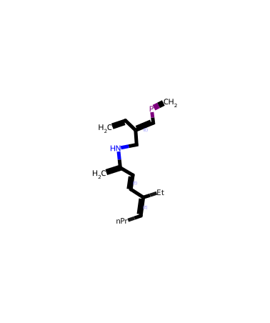 C=C/C(=C\P=C)CNC(=C)/C=C/C(=C\CCC)CC